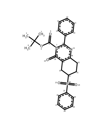 CC(C)(C)OC(=O)n1c(-c2ccccc2)nc2c(c1=O)CC(S(=O)(=O)c1ccccc1)CC2